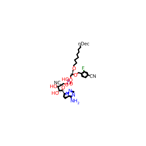 CCCCCCCCCCCCCCCCCCOC[C@H](COP(=O)(O)OC[C@@]1(C#N)O[C@@H](c2ccc3c(N)ncnn23)[C@H](O)[C@@H]1O)OCc1ccc(C#N)cc1F